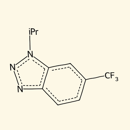 CC(C)n1nnc2ccc(C(F)(F)F)cc21